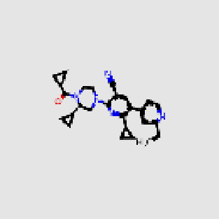 C=Cc1cc(-c2cc(C#N)c(N3CCN(C(=O)C4CC4)[C@H](C4CC4)C3)nc2C2CC2)ccn1